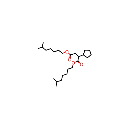 CC(C)CCCCCOC(=O)CC(C(=O)OCCCCCC(C)C)C1CCCC1